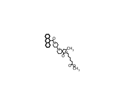 COC(=O)CCCCCN1C(=O)C2(CCCN(C3CCN(C(=O)c4c5ccccc5cc5ccccc45)CC3)C2)CC1C